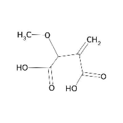 C=C(C(=O)O)C(OC)C(=O)O